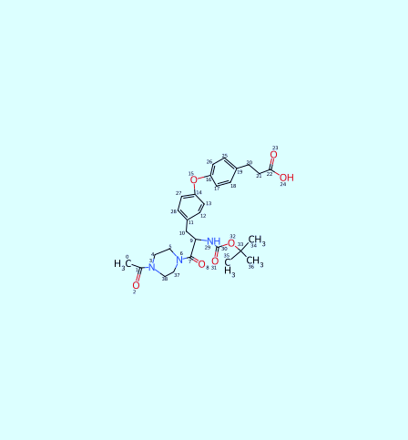 CC(=O)N1CCN(C(=O)C(Cc2ccc(Oc3ccc(CCC(=O)O)cc3)cc2)NC(=O)OC(C)(C)C)CC1